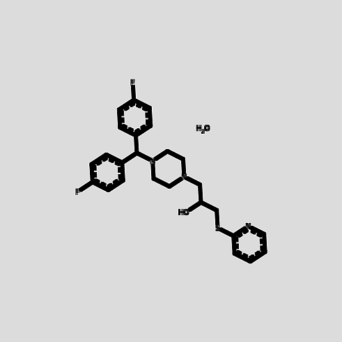 O.OC(CSc1ccccn1)CN1CCN(C(c2ccc(F)cc2)c2ccc(F)cc2)CC1